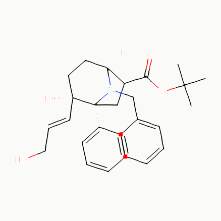 CC(C)(C)OC(=O)C1C[C@]2(c3ccccc3)N(Cc3ccccc3)[C@H]1CC[C@]2(O)C=CCO